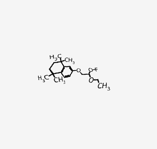 CCOC(COc1ccc2c(c1)C(C)(C)CCC2(C)C)OF